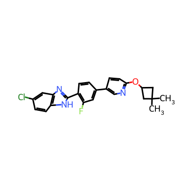 CC1(C)CC(Oc2ccc(-c3ccc(-c4nc5cc(Cl)ccc5[nH]4)c(F)c3)cn2)C1